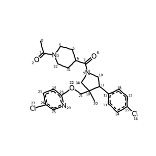 CC(=O)N1CCC(C(=O)N2CC(c3ccc(Cl)cc3)C(C)(COc3ccc(Cl)cn3)C2)CC1